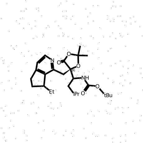 CCC1CCc2ccnc(C[C@]3(C(CC(C)C)NC(=O)OC(C)(C)C)OC(C)(C)OC3=O)c21